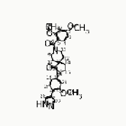 COc1ccc(C(=O)N2CCC3(CC2)CCN(c2ccc(-c4cn[nH]c4)c(OC)c2)C3=O)c(OC)c1